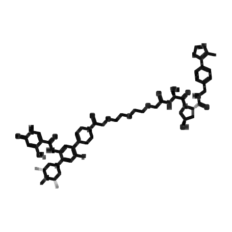 Cc1ncsc1-c1ccc(CNC(=O)[C@@H]2C[C@@H](O)CN2C(=O)[C@@H](NC(=O)COCCOCCOCC(=O)N2CC=C(c3cc(NC(=O)c4c[nH]c(=O)cc4C(F)(F)F)c(N4C[C@@H](C)N(C)[C@@H](C)C4)cc3F)CC2)C(C)(C)C)cc1